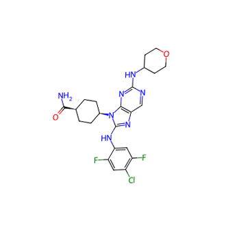 NC(=O)[C@H]1CC[C@@H](n2c(Nc3cc(F)c(Cl)cc3F)nc3cnc(NC4CCOCC4)nc32)CC1